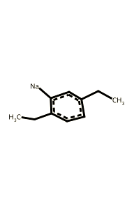 CCc1ccc(CC)[c]([Na])c1